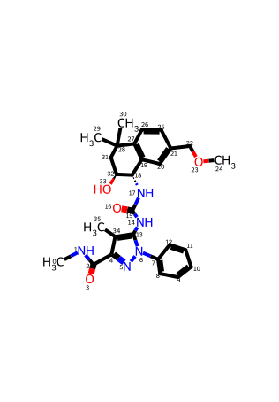 CNC(=O)c1nn(-c2ccccc2)c(NC(=O)N[C@H]2c3cc(COC)ccc3C(C)(C)C[C@@H]2O)c1C